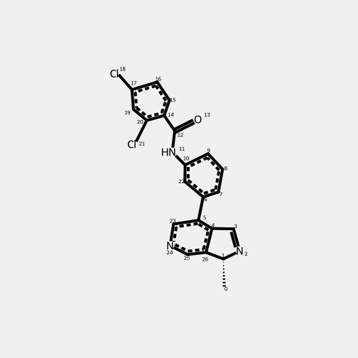 C[C@H]1N=Cc2c(-c3cccc(NC(=O)c4ccc(Cl)cc4Cl)c3)cncc21